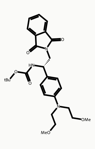 COCCN(CCOC)c1ccc([C@@H](CN2C(=O)c3ccccc3C2=O)NC(=O)OC(C)(C)C)cc1